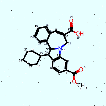 COC(=O)c1ccc2c(c1)N1CC(C(=O)O)=Cc3ccccc3C1C2C1CCCCC1